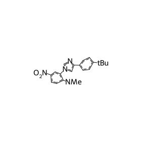 CNc1ccc([N+](=O)[O-])cc1-n1cnc(-c2ccc(C(C)(C)C)cc2)c1